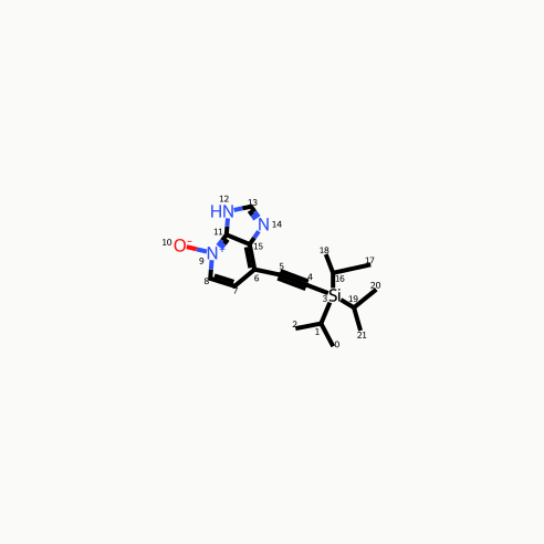 CC(C)[Si](C#Cc1cc[n+]([O-])c2[nH]cnc12)(C(C)C)C(C)C